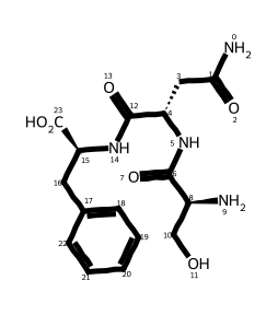 NC(=O)C[C@H](NC(=O)[C@@H](N)CO)C(=O)N[C@@H](Cc1ccccc1)C(=O)O